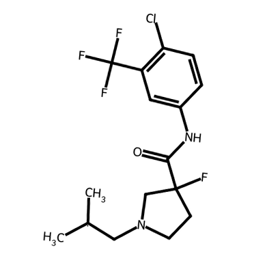 C[C](C)CN1CCC(F)(C(=O)Nc2ccc(Cl)c(C(F)(F)F)c2)C1